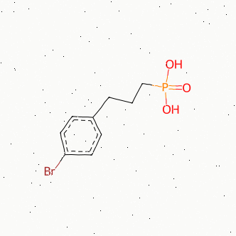 O=P(O)(O)CCCc1ccc(Br)cc1